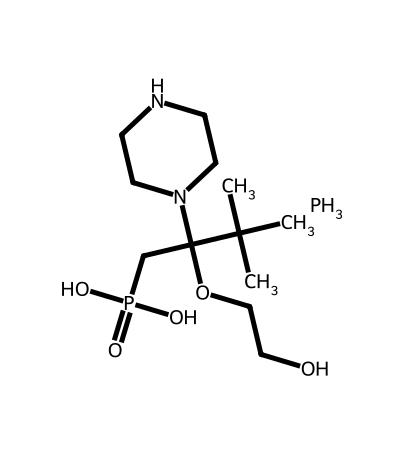 CC(C)(C)C(CP(=O)(O)O)(OCCO)N1CCNCC1.P